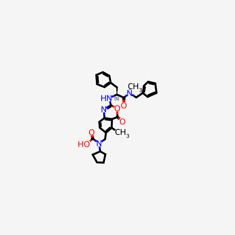 Cc1c(CN(C(=O)O)C2CCCC2)ccc2nc(N[C@@H](Cc3ccccc3)C(=O)N(C)Cc3ccccc3)oc(=O)c12